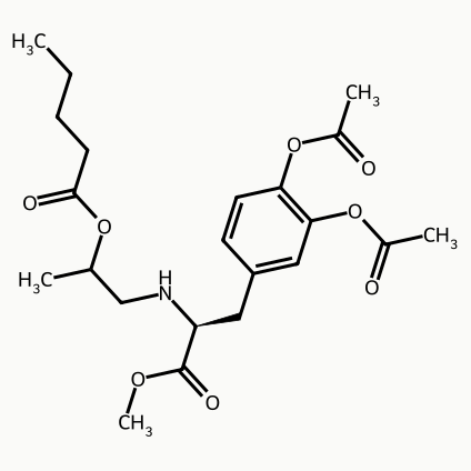 CCCCC(=O)OC(C)CN[C@@H](Cc1ccc(OC(C)=O)c(OC(C)=O)c1)C(=O)OC